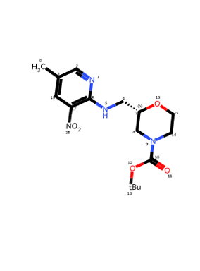 Cc1cnc(NC[C@H]2CN(C(=O)OC(C)(C)C)CCO2)c([N+](=O)[O-])c1